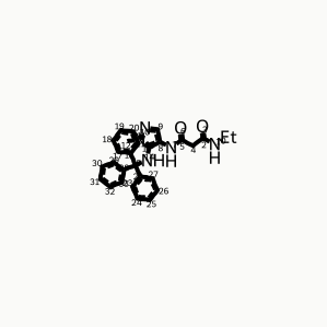 [CH2]CNC(=O)CC(=O)Nc1cnn(C)c1NC(c1ccccc1)(c1ccccc1)c1ccccc1